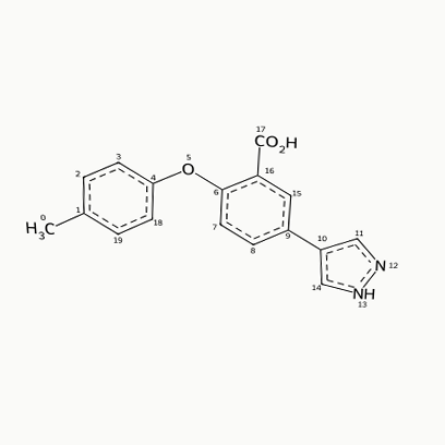 Cc1ccc(Oc2ccc(-c3cn[nH]c3)cc2C(=O)O)cc1